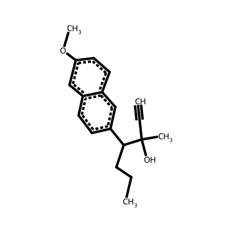 C#CC(C)(O)C(CCC)c1ccc2cc(OC)ccc2c1